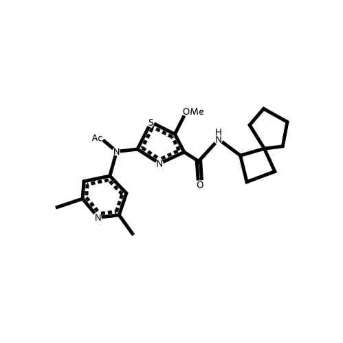 COc1sc(N(C(C)=O)c2cc(C)nc(C)c2)nc1C(=O)NC1CCC12CCCC2